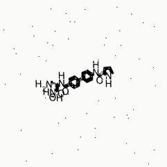 NC[C@H](NC(=O)c1ccc(-c2ccc(NC(=O)[C@@H]3CCCN3)cc2)cc1)C(=O)NO